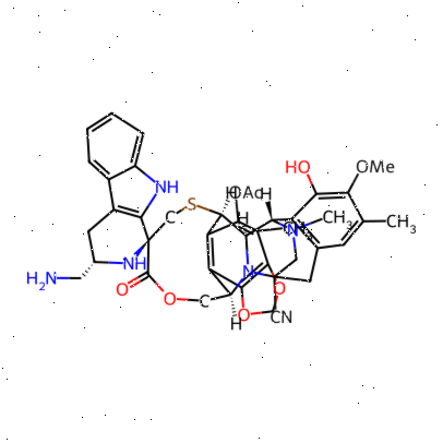 COc1c(C)cc2c(c1O)[C@H]1[C@@H]3[C@@H]4SC[C@]5(N[C@H](CN)Cc6c5[nH]c5ccccc65)C(=O)OC[C@@H](c5c6c(c(C)c(OC(C)=O)c54)OCO6)N3C(C#N)(C2)CN1C